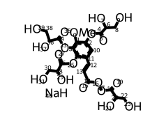 COc1c(OC(=O)C(O)CO)cc(C=CC(=O)OOC(=O)C(O)CO)c(OC(=O)C(O)CO)c1OC(=O)C(O)CO.[NaH]